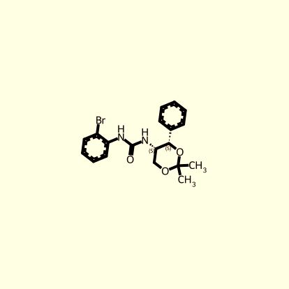 CC1(C)OC[C@H](NC(=O)Nc2ccccc2Br)[C@H](c2ccccc2)O1